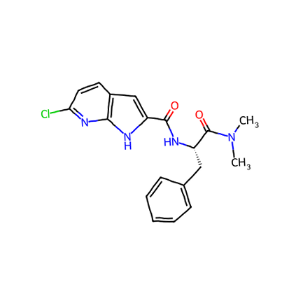 CN(C)C(=O)[C@H](Cc1ccccc1)NC(=O)c1cc2ccc(Cl)nc2[nH]1